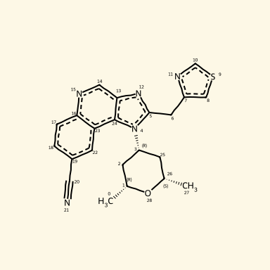 C[C@@H]1C[C@H](n2c(Cc3cscn3)nc3cnc4ccc(C#N)cc4c32)C[C@H](C)O1